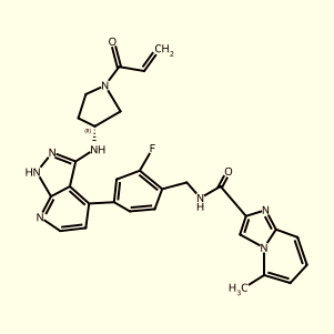 C=CC(=O)N1CC[C@@H](Nc2n[nH]c3nccc(-c4ccc(CNC(=O)c5cn6c(C)cccc6n5)c(F)c4)c23)C1